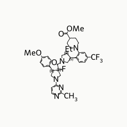 CC[C@H]1CN(C(=O)[C@]2(F)CN(c3ccnc(C)n3)C[C@H]2c2ccc(OC)cc2)C[C@@H]1c1ccc(C(F)(F)F)cc1N1CCC(C(=O)OC)CC1